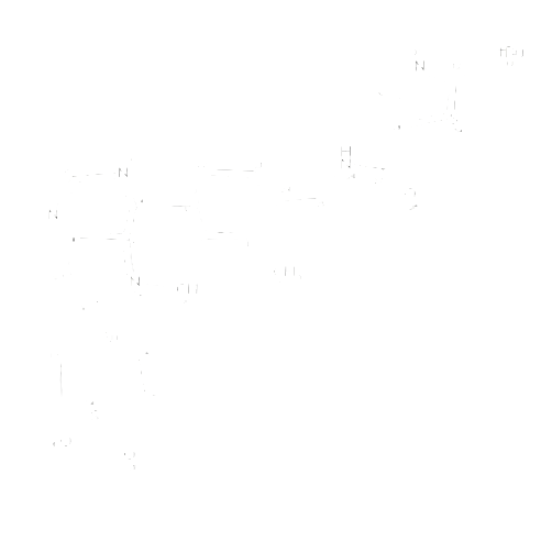 Cc1cc(-c2ncnc3cc(C4CCS(=O)(=O)CC4)n(C)c23)ccc1CNC(=O)c1cnc(C(C)(C)C)s1